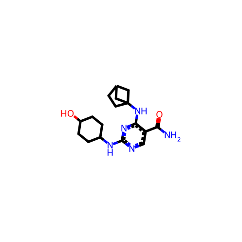 NC(=O)c1cnc(NC2CCC(O)CC2)nc1NC12CCC(C1)C2